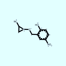 N#CC1CN1OCc1cc([N+](=O)[O-])ccc1O